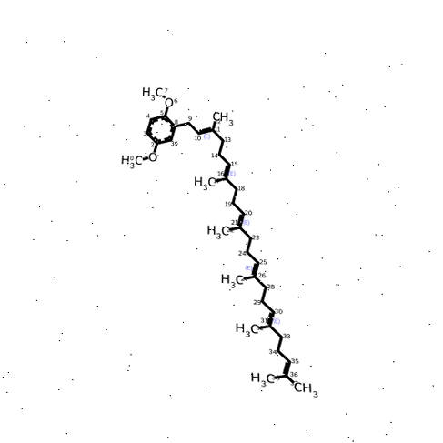 COc1ccc(OC)c(C/C=C(\C)CC/C=C(\C)CC/C=C(\C)CC/C=C(\C)CC/C=C(\C)CCC=C(C)C)c1